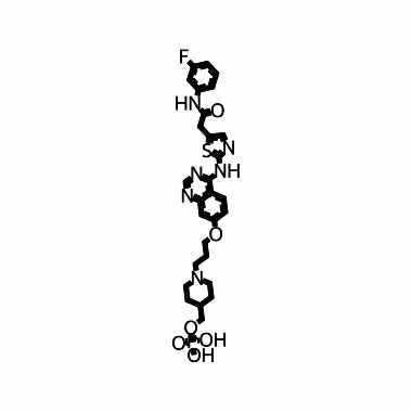 O=C(Cc1cnc(Nc2ncnc3cc(OCCCN4CCC(COP(=O)(O)O)CC4)ccc23)s1)Nc1cccc(F)c1